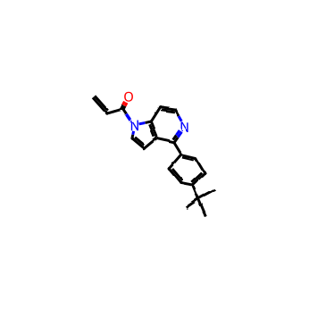 C=CC(=O)n1ccc2c(-c3ccc(C(C)(C)C)cc3)nccc21